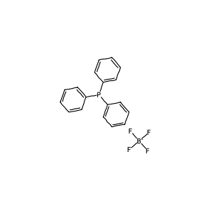 F[B-](F)(F)F.c1ccc(P(c2ccccc2)c2ccccc2)cc1